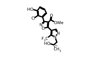 COC(=O)c1c(-c2cccc(O)c2Cl)noc1-c1cnn(C[C@H](C)O)c1C(F)(F)F